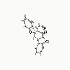 O=C1CC(c2ccccc2Cl)Cc2nncc(-c3ccccc3)c21